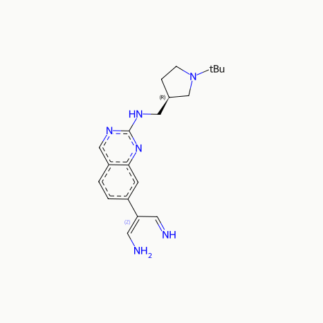 CC(C)(C)N1CC[C@H](CNc2ncc3ccc(/C(C=N)=C/N)cc3n2)C1